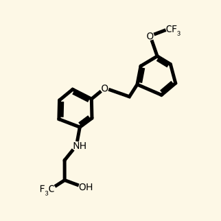 OC(CNc1cccc(OCc2cccc(OC(F)(F)F)c2)c1)C(F)(F)F